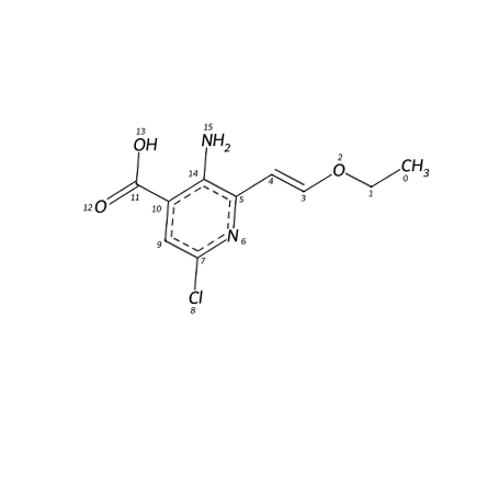 CCOC=Cc1nc(Cl)cc(C(=O)O)c1N